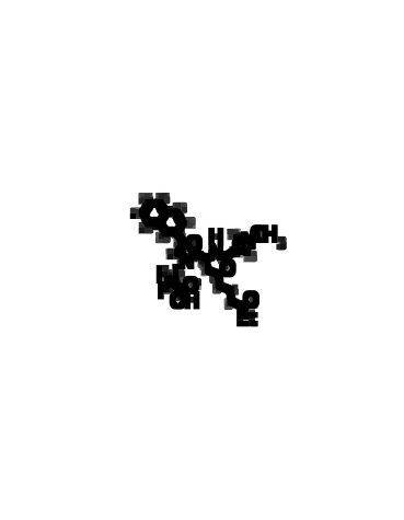 CCC(=O)CCCCC[C@H](NC(=O)C1CN(C)C1)c1ncc(-c2ccc3ccccc3c2)o1.O=C(O)C(F)(F)F